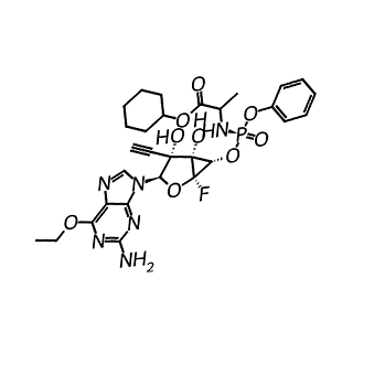 C#C[C@]1(O)[C@H](n2cnc3c(OCC)nc(N)nc32)O[C@]2(F)[C@@H](O[P@](=O)(NC(C)C(=O)OC3CCCCC3)Oc3ccccc3)[C@]12O